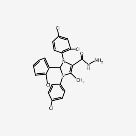 CC1=C(C(=O)NN)N(c2ccc(Cl)cc2Cl)C(c2ccccc2Cl)N1c1ccc(Cl)cc1